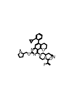 C=C(F)C(=O)N1CCN(c2nc(OCC3CCCN3C)nc3cc(-c4ccccc4C4CC4)c4c(c23)OCCC4)CC1CC#N